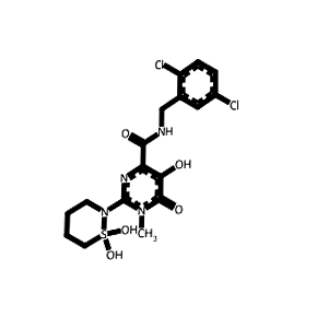 Cn1c(N2CCCCS2(O)O)nc(C(=O)NCc2cc(Cl)ccc2Cl)c(O)c1=O